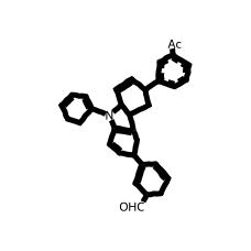 CC(=O)c1cccc(C2C=CC3C(C2)C2=C(C=CC(C4=CC(C=O)CC=C4)C2)N3C2=CC=CCC2)c1